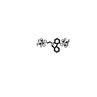 O=S(=O)(OCC[n+]1cc2ccccc2c2c(OS(=O)(=O)C(F)(F)F)cccc21)C(F)(F)F